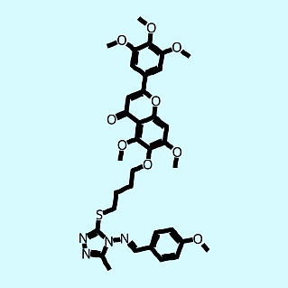 COc1ccc(C=Nn2c(C)nnc2SCCCCOc2c(OC)cc3oc(-c4cc(OC)c(OC)c(OC)c4)cc(=O)c3c2OC)cc1